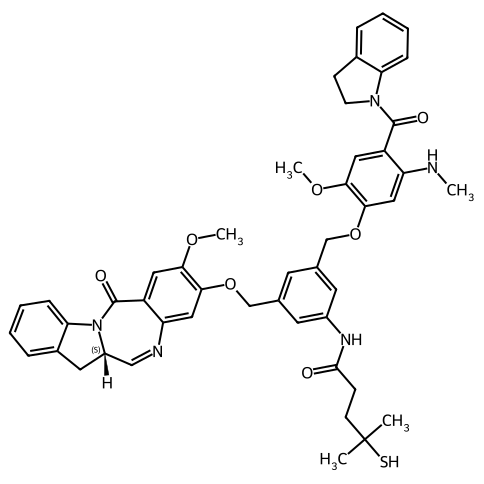 CNc1cc(OCc2cc(COc3cc4c(cc3OC)C(=O)N3c5ccccc5C[C@H]3C=N4)cc(NC(=O)CCC(C)(C)S)c2)c(OC)cc1C(=O)N1CCc2ccccc21